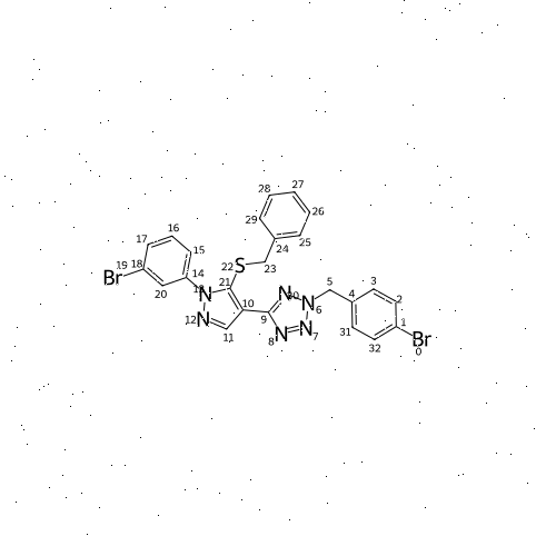 Brc1ccc(Cn2nnc(-c3cnn(-c4cccc(Br)c4)c3SCc3ccccc3)n2)cc1